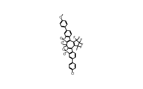 CCC1=C(C2=C(C3=C(CC)S(=O)(=O)c4cc(-c5ccc(OC)cc5)ccc43)C(F)(F)C(F)(F)C2(F)F)c2ccc(-c3ccc(Cl)cc3)cc2S1(=O)=O